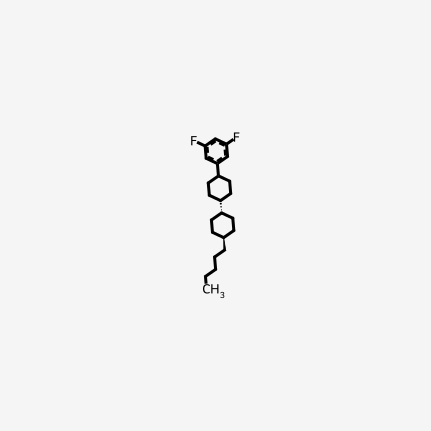 CCCCC[C@H]1CC[C@H](C2CCC(c3cc(F)cc(F)c3)CC2)CC1